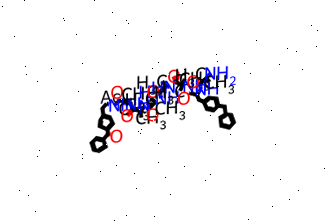 CC(=O)C(Cc1ccc(C(=O)c2ccccc2)cc1)NC(=O)C(C)(C)NC(=O)C(C)NC(=O)C(C)(C)NC(=O)C(C)NC(=O)C(C)(C)NC(=O)C(Cc1ccc(Cc2ccccc2)cc1)NC(=O)C(C)(C)N